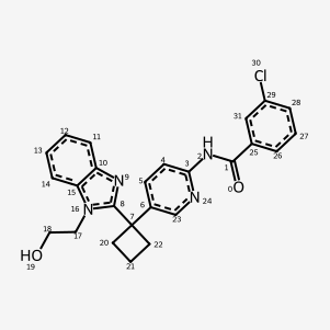 O=C(Nc1ccc(C2(c3nc4ccccc4n3CCO)CCC2)cn1)c1cccc(Cl)c1